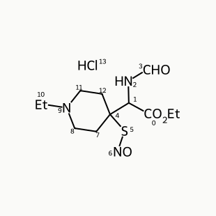 CCOC(=O)C(NC=O)C1(SN=O)CCN(CC)CC1.Cl